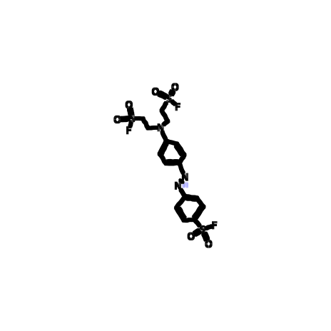 O=S(=O)(F)CCN(CCS(=O)(=O)F)c1ccc(/N=N/c2ccc(S(=O)(=O)F)cc2)cc1